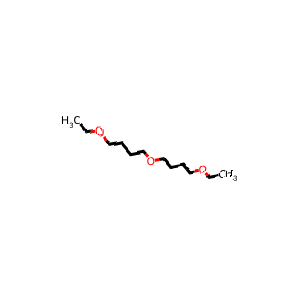 CCOCCCCOCCCCOCC